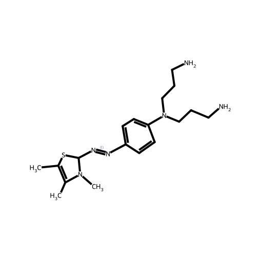 CC1=C(C)N(C)C(/N=N/c2ccc(N(CCCN)CCCN)cc2)S1